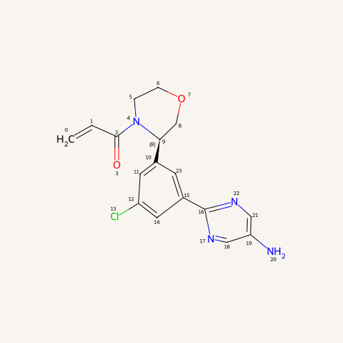 C=CC(=O)N1CCOC[C@H]1c1cc(Cl)cc(-c2ncc(N)cn2)c1